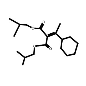 CC(=C(C(=O)OCC(C)C)C(=O)OCC(C)C)C1CCCCC1